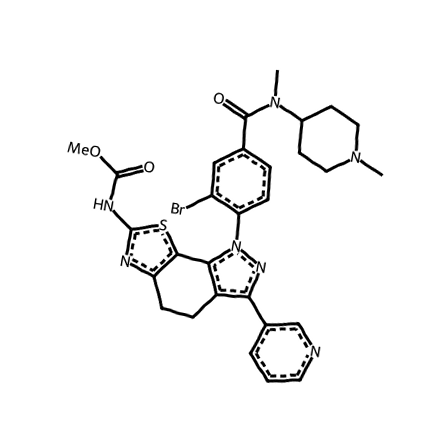 COC(=O)Nc1nc2c(s1)-c1c(c(-c3cccnc3)nn1-c1ccc(C(=O)N(C)C3CCN(C)CC3)cc1Br)CC2